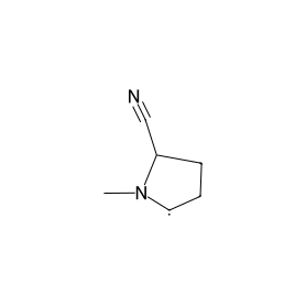 CN1[CH]CCC1C#N